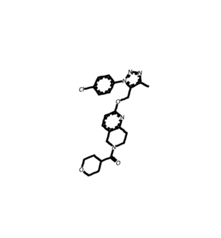 Cc1nnn(-c2ccc(Cl)cc2)c1COc1ccc2c(n1)CCN(C(=O)C1CCOCC1)C2